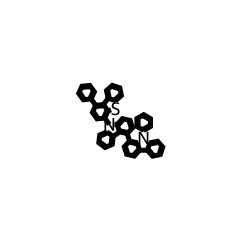 c1ccc(-c2ccc(-n3c4ccccc4c4c(-c5cccc6c7ccccc7n(-c7ccccc7)c56)cccc43)c3sc4ccccc4c23)cc1